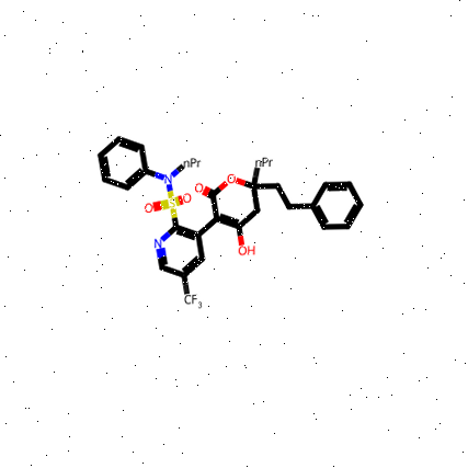 CCCN(c1ccccc1)S(=O)(=O)c1ncc(C(F)(F)F)cc1C1=C(O)CC(CCC)(CCc2ccccc2)OC1=O